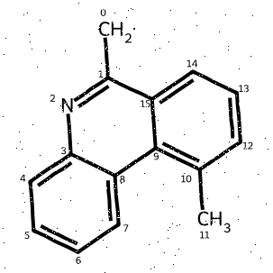 [CH2]c1nc2ccccc2c2c(C)cccc12